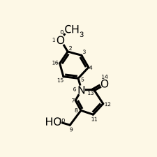 COc1ccc(-n2cc(CO)ccc2=O)cc1